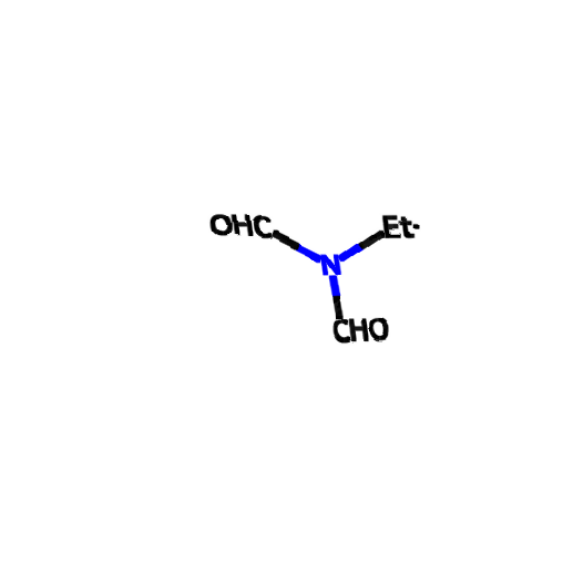 C[CH]N(C=O)C=O